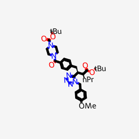 CCC[C@H](C(=O)OC(C)(C)C)[C@H](Cc1ccc(C(=O)N2CCN(C(=O)OC(C)(C)C)CC2)cc1)c1nnnn1Cc1ccc(OC)cc1